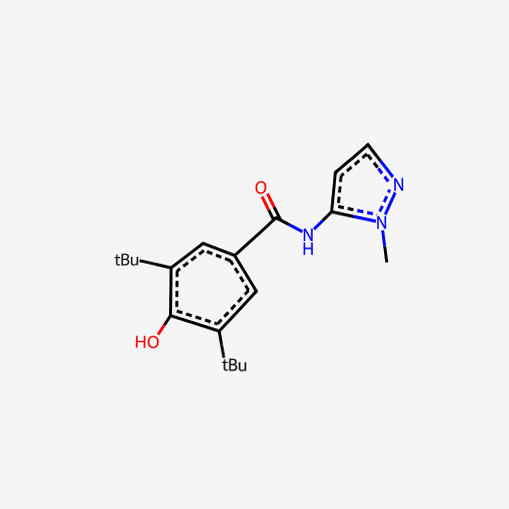 Cn1nccc1NC(=O)c1cc(C(C)(C)C)c(O)c(C(C)(C)C)c1